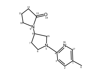 Cc1ccc(N2CCC(N3CCCC3=O)C2)nc1